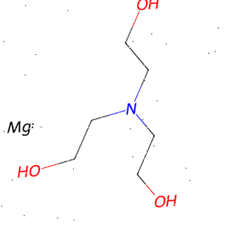 OCCN(CCO)CCO.[Mg]